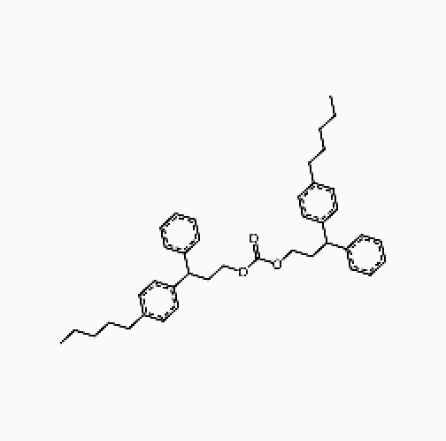 CCCCCc1ccc(C(CCOC(=O)OCCC(c2ccccc2)c2ccc(CCCCC)cc2)c2ccccc2)cc1